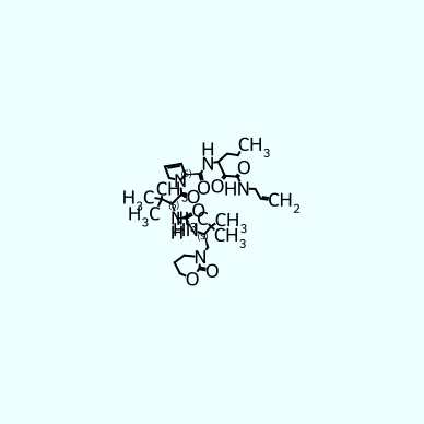 C=CCNC(=O)C(=O)C(CCC)NC(=O)[C@@H]1C=CCN1C(=O)[C@@H](NC(=O)N[C@H](CN1CCCOC1=O)C(C)(C)C)C(C)(C)C